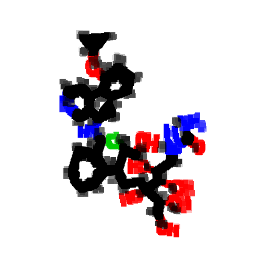 NC(=O)NC[C@H](O)[C@@H](O)[C@@](O)(CCC(c1ccccc1CNC1(c2cnccc2-c2ccccc2OC2CC2)CC1)C(Cl)CO)[C@H](O)CO